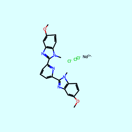 COc1ccc2c(c1)nc(-c1cccc(-c3nc4cc(OC)ccc4n3C)n1)n2C.[Cl-].[Cl-].[Cl-].[Nd+3]